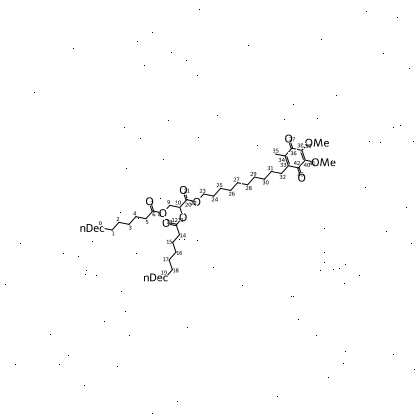 CCCCCCCCCCCCCCCC(=O)OCC(OC(=O)CCCCCCCCCCCCCCC)C(=O)OCCCCCCCCCCC1=C(C)C(=O)C(OC)=C(OC)C1=O